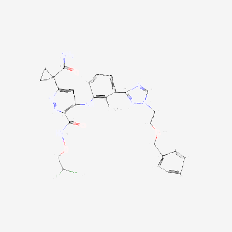 COc1c(Nc2cc(C3(C(N)=O)CC3)nnc2C(=O)NOCC(F)F)cccc1-c1ncn(CCOCc2ccccc2)n1